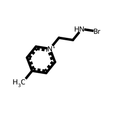 Cc1cc[n+](CCNBr)cc1